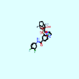 O=C(Nc1ccc(F)c(F)c1)c1ccc(Cl)c(S(=O)(=O)[C@H]2C[C@H]3CC[C@@H](C2)[C@@]3(O)C(O)Cn2ccnc2)c1